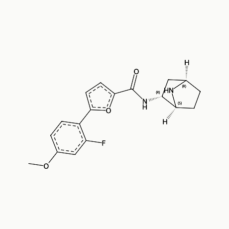 COc1ccc(-c2ccc(C(=O)N[C@@H]3C[C@H]4CC[C@@H]3N4)o2)c(F)c1